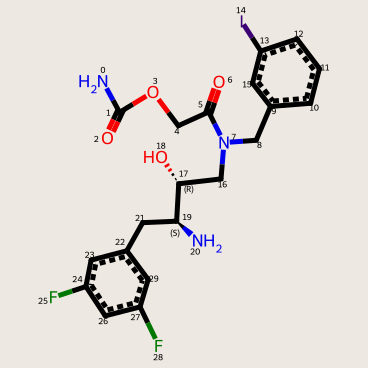 NC(=O)OCC(=O)N(Cc1cccc(I)c1)C[C@@H](O)[C@@H](N)Cc1cc(F)cc(F)c1